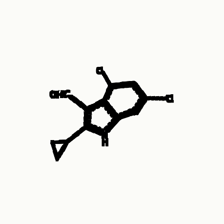 O=Cc1c(C2CC2)[nH]c2cc(Cl)cc(Cl)c12